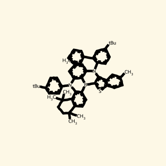 Cc1cc2c3c(c1)N(c1ccc(C(C)(C)C)cc1-c1ccccc1)c1c(sc4ccc(C)cc14)B3c1ccc3c(c1N2c1ccc(C(C)(C)C)cc1)C(C)(C)CCC3(C)C